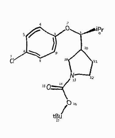 CC(C)[C@H](Oc1ccc(Cl)cc1)C1CCN(C(=O)OC(C)(C)C)C1